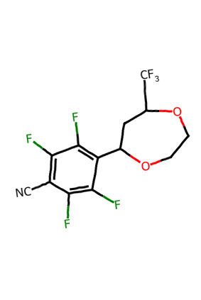 N#Cc1c(F)c(F)c(C2CC(C(F)(F)F)OCCO2)c(F)c1F